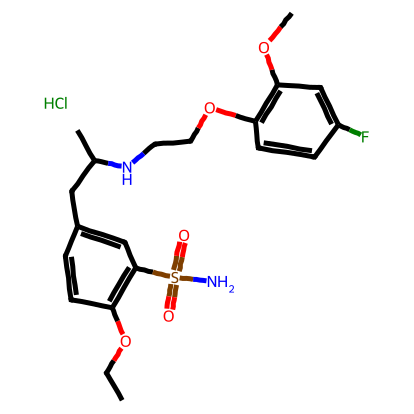 CCOc1ccc(CC(C)NCCOc2ccc(F)cc2OC)cc1S(N)(=O)=O.Cl